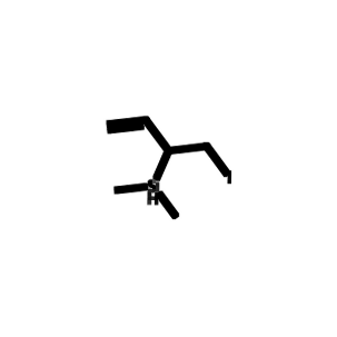 C=CC(CI)[SiH](C)C